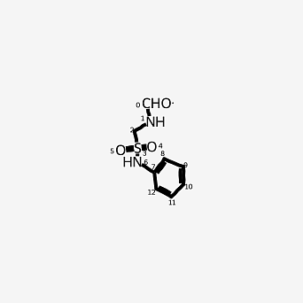 O=[C]NCS(=O)(=O)Nc1ccccc1